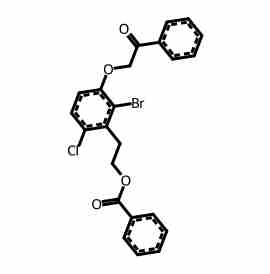 O=C(COc1ccc(Cl)c(CCOC(=O)c2ccccc2)c1Br)c1ccccc1